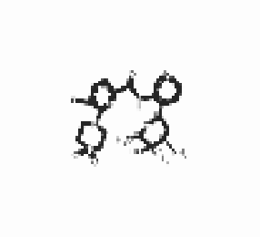 C[C@H]1O[C@@H](c2ccncc2NC(=O)c2ccc(F)c(N3CCS(=O)(=O)CC3)n2)C[C@@H](N)[C@]1(C)O